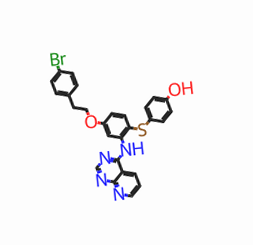 Oc1ccc(Sc2ccc(OCCc3ccc(Br)cc3)cc2Nc2ncnc3ncccc23)cc1